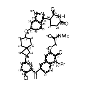 CNC(=O)COc1cc2cc(Nc3nc(N4CC5(CCC(Oc6ccc7c(C8CCC(=O)NC8=O)nn(C)c7c6)CC5)C4)ncc3Cl)cnc2n(C(C)C)c1=O